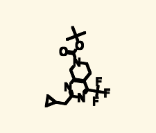 CC(C)(C)OC(=O)N1CCc2c(nc(CC3CC3)nc2C(F)(F)F)C1